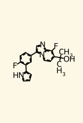 CC(C)(O)c1ccn2c(-c3ccc(F)c(-c4ccc[nH]4)c3)cnc2c1F